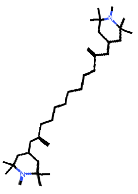 C=C(CCCCCCCCC(=C)CC1CC(C)(C)N(C)C(C)(C)C1)CC1CC(C)(C)N(C)C(C)(C)C1